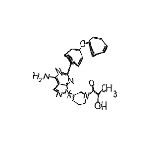 CC(O)C(=O)N1CCC[C@@H](n2ncc3c(N)nc(-c4ccc(Oc5ccccc5)cc4)nc32)C1